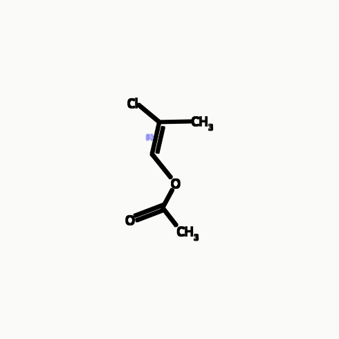 CC(=O)O/C=C(\C)Cl